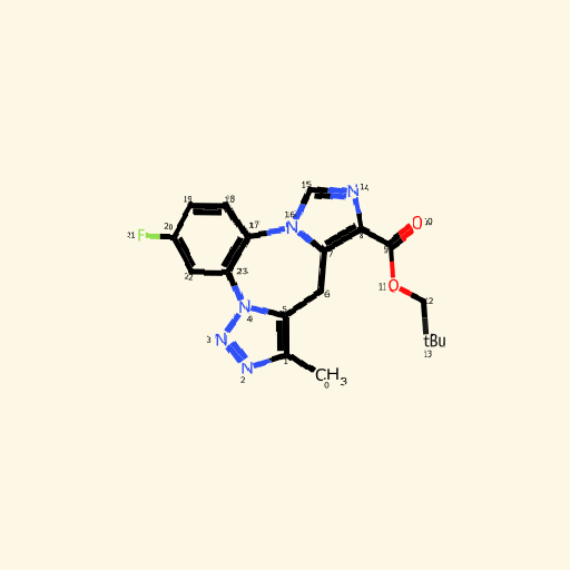 Cc1nnn2c1Cc1c(C(=O)OCC(C)(C)C)ncn1-c1ccc(F)cc1-2